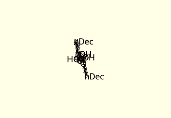 CCCCCCCCCCCCCCCCOC[C@H]1O[C@@H](O)[C@H](OCCCCCCCCCCCCCCCC)[C@@H](O)[C@H]1O